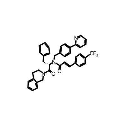 O=C([C@H](Cc1ccccc1)N(Cc1ccc(-c2ccccn2)cc1)C(=O)/C=C/c1ccc(C(F)(F)F)cc1)N1CCc2ccccc2C1